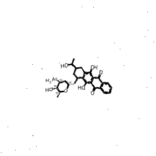 CC(O)C1Cc2c(O)c3c(c(O)c2C(C[C@H]2C[C@H]([AsH2])[C@H](O)[C@H](C)O2)C1)C(=O)c1ccccc1C3=O